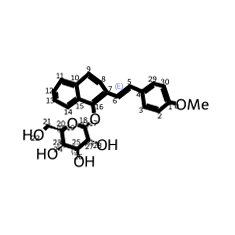 COc1ccc(/C=C/c2ccc3ccccc3c2O[C@@H]2O[C@H](CO)[C@@H](O)[C@H](O)[C@H]2O)cc1